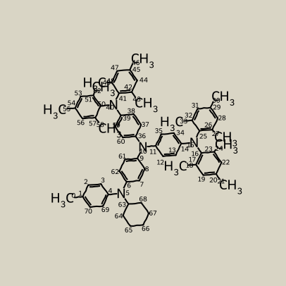 Cc1ccc(N(c2ccc(N(c3ccc(N(c4c(C)cc(C)cc4C)c4c(C)cc(C)cc4C)cc3)c3ccc(N(c4c(C)cc(C)cc4C)c4c(C)cc(C)cc4C)cc3)cc2)C2CCCCC2)cc1